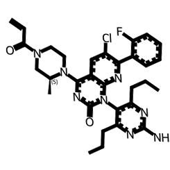 C=CC(=O)N1CCN(c2nc(=O)n(-c3c(CCC)nc(N)nc3CCC)c3nc(-c4ccccc4F)c(Cl)cc23)[C@@H](C)C1